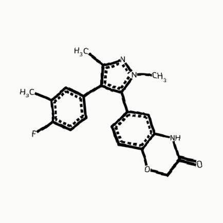 Cc1cc(-c2c(C)nn(C)c2-c2ccc3c(c2)NC(=O)CO3)ccc1F